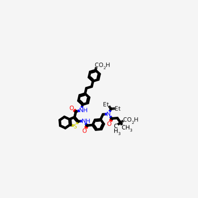 CCC(CC)N(Cc1cccc(C(=O)Nc2sc3c(c2C(=O)Nc2ccc(CCc4ccc(C(=O)O)cc4)cc2)CCCC3)c1)C(=O)CC(C)(C)C(=O)O